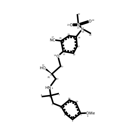 COc1ccc(CC(C)(C)NC[C@@H](O)COc2ccc(N(C)S(C)(=O)=O)cc2C#N)cc1